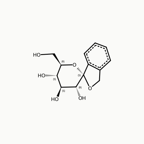 OC[C@H]1O[C@]2(OCc3ccccc32)[C@H](O)[C@@H](O)[C@@H]1O